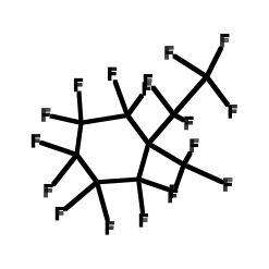 FC(F)(F)C(F)(F)C1(C(F)(F)F)C(F)(F)C(F)(F)C(F)(F)C(F)(F)C1(F)F